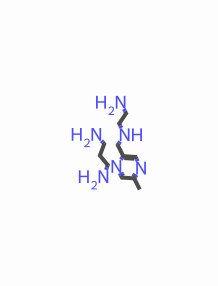 Cc1cnc(CNCCN)cn1.NCCCN